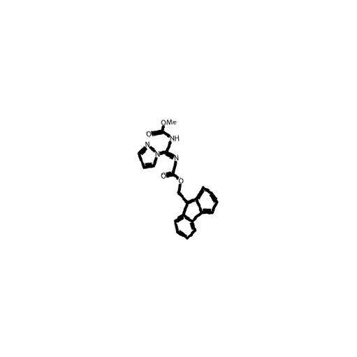 COC(=O)NC(=NC(=O)OCC1c2ccccc2-c2ccccc21)n1cccn1